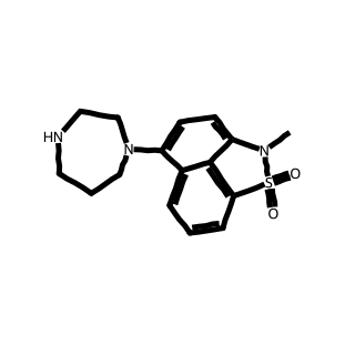 CN1c2ccc(N3CCCNCC3)c3cccc(c23)S1(=O)=O